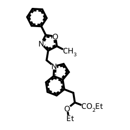 CCOC(=O)C(Cc1cccc2c1ccn2Cc1nc(-c2ccccc2)oc1C)OCC